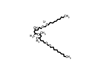 CCCCCCCCCCOCOCCCC(C)C[CH](C)[Cu][CH](C)CC(C)CCCOCOCCCCCCCCCC.[Li]